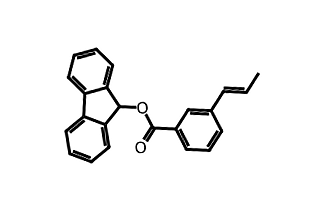 C/C=C/c1cccc(C(=O)OC2c3ccccc3-c3ccccc32)c1